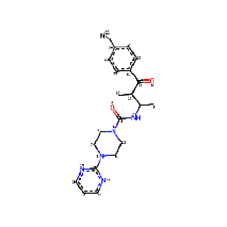 CC(NC(=O)N1CCN(c2ncccn2)CC1)C(C)C(=O)c1ccc(C#N)cc1